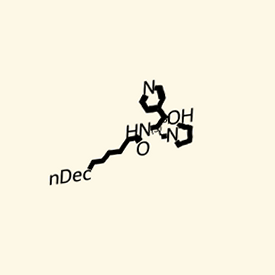 CCCCCCCCCCCCCCCC(=O)N[C@@H](CN1CCCC1)[C@@H](O)c1ccncc1